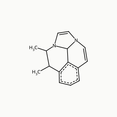 CC1c2cccc3c2C2N(C=C3)C=CN2C1C